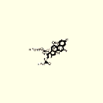 CCCCCOC(=O)O[C@]1(C(=O)COC(=O)CCCC)[C@H](C)C[C@H]2[C@@H]3C[C@H](F)C4=CC(=O)C=C[C@]4(C)[C@@]3(F)[C@@H](O)C[C@@]21C